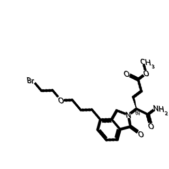 COC(=O)CC[C@@H](C(N)=O)N1Cc2c(CCCOCCBr)cccc2C1=O